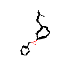 CC(C)=Cc1cccc(OCc2ccccc2)c1